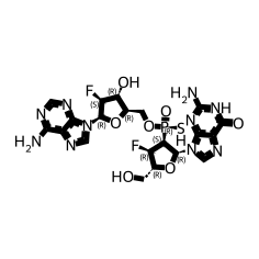 Nc1nc2c(ncn2[C@@H]2O[C@H](CO)[C@@H](F)[C@H]2[P@](=O)(S)OC[C@H]2O[C@@H](n3cnc4c(N)ncnc43)[C@@H](F)[C@@H]2O)c(=O)[nH]1